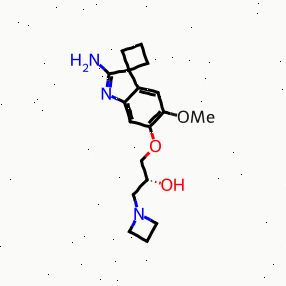 COc1cc2c(cc1OC[C@H](O)CN1CCC1)N=C(N)C21CCC1